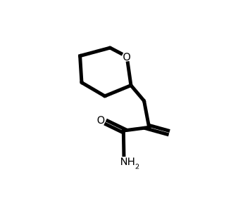 C=C(CC1CCCCO1)C(N)=O